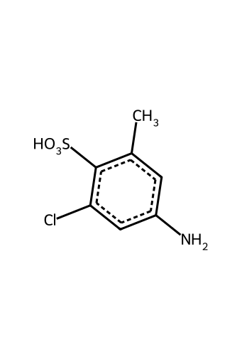 Cc1cc(N)cc(Cl)c1S(=O)(=O)O